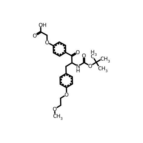 COCCOc1ccc(CC(NC(=O)OC(C)(C)C)C(=O)c2ccc(OCC(=O)O)cc2)cc1